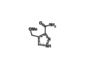 COCc1c[nH]nc1C(N)=O